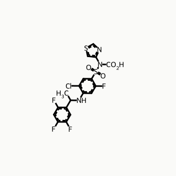 CC(Nc1cc(F)c(S(=O)(=O)N(C(=O)O)c2cscn2)cc1Cl)c1cc(F)c(F)cc1F